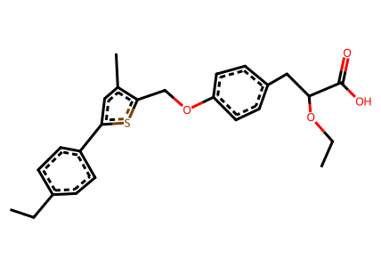 CCOC(Cc1ccc(OCc2sc(-c3ccc(CC)cc3)cc2C)cc1)C(=O)O